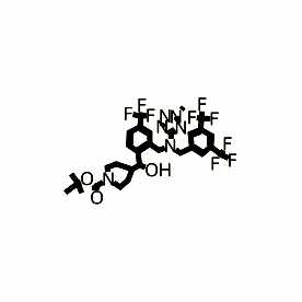 Cn1nnc(N(Cc2cc(C(F)(F)F)cc(C(F)(F)F)c2)Cc2cc(C(F)(F)F)ccc2C(O)C2CCN(C(=O)OC(C)(C)C)CC2)n1